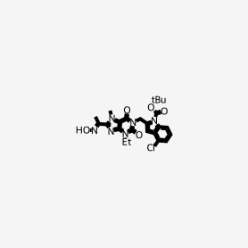 CCn1c(=O)n(Cc2cc3c(Cl)cccc3n2C(=O)OC(C)(C)C)c(=O)c2c1nc(C(C)=NO)n2C